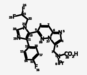 CC(C)N(Cc1cnc2ccc(-c3c(-c4ccc(F)cc4)ncn3CC(F)F)nn12)C(=O)O